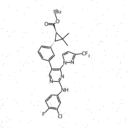 CC(C)(C)OC(=O)[C@@H]1[C@@H](c2cccc(-c3cnc(Nc4ccc(F)c(Cl)c4)nc3-n3ccc(C(F)(F)F)n3)c2)C1(C)C